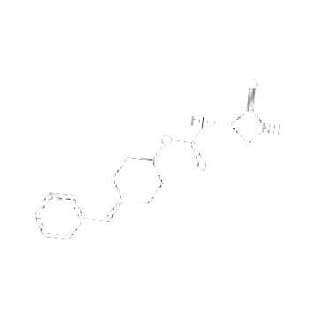 O=C(N[C@H]1CNC1=O)OC1CCC(=Cc2ccccc2)CC1